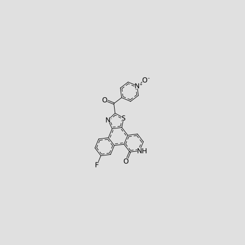 O=C(c1cc[n+]([O-])cc1)c1nc2c3ccc(F)cc3c3c(=O)[nH]ccc3c2s1